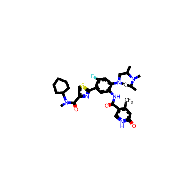 CC1CN(c2cc(F)c(-c3nc(C(=O)N(C)C4CCCCC4)cs3)cc2NC(=O)c2c[nH]c(=O)cc2C(F)(F)F)CC(C)N1C